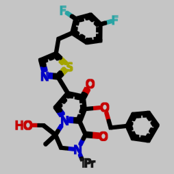 CC(C)N1CC(C)(CO)n2cc(-c3ncc(Cc4ccc(F)cc4F)s3)c(=O)c(OCc3ccccc3)c2C1=O